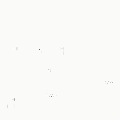 COc1ccc(Nc2nc(Nc3ccccc3)c3cccc(OC)c3n2)cc1.Cl.Cl